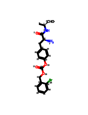 C[C@H]([C]=O)NC(=O)[C@@H](N)Cc1ccc(OC(=O)OCc2ccccc2Br)cc1